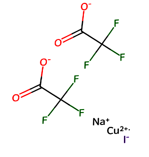 O=C([O-])C(F)(F)F.O=C([O-])C(F)(F)F.[Cu+2].[I-].[Na+]